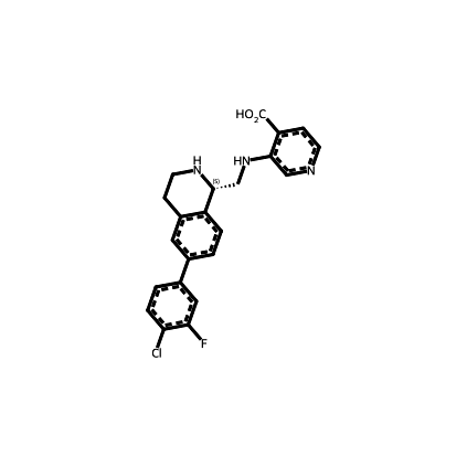 O=C(O)c1ccncc1NC[C@H]1NCCc2cc(-c3ccc(Cl)c(F)c3)ccc21